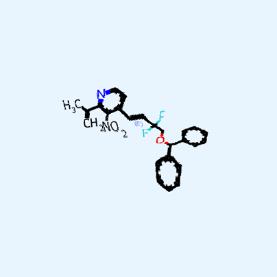 C=C(C)c1nccc(/C=C/C(F)(F)COC(c2ccccc2)c2ccccc2)c1[N+](=O)[O-]